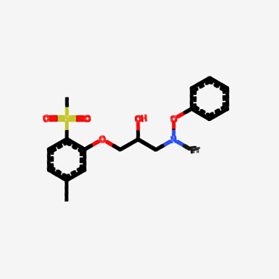 Cc1ccc(S(C)(=O)=O)c(OCC(O)CN(Oc2ccccc2)C(C)C)c1